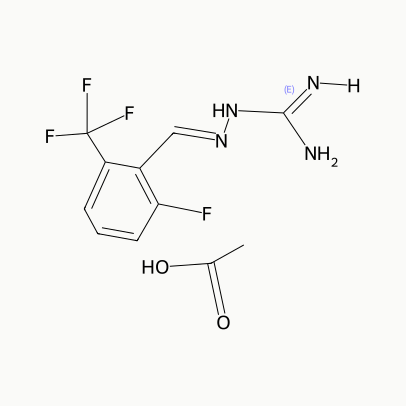 CC(=O)O.[H]/N=C(\N)NN=Cc1c(F)cccc1C(F)(F)F